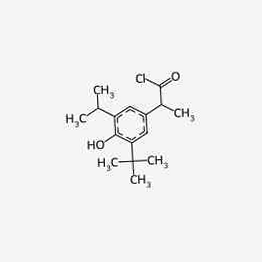 CC(C)c1cc(C(C)C(=O)Cl)cc(C(C)(C)C)c1O